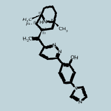 C=C(c1ccc(-c2ccc(-n3ccnc3)cc2O)nn1)[C@@H]1C[C@@]2(C)CCC[C@](C)(N2)[C@H]1F